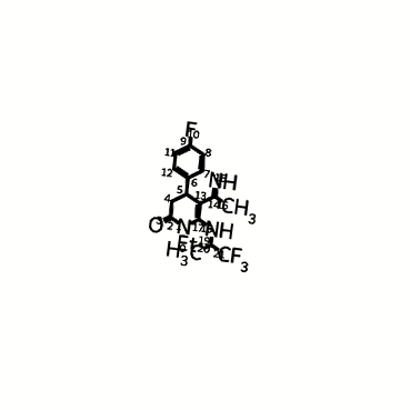 CCN1C(=O)CC(c2ccc(F)cc2)C(C(C)=N)=C1NC(C)C(F)(F)F